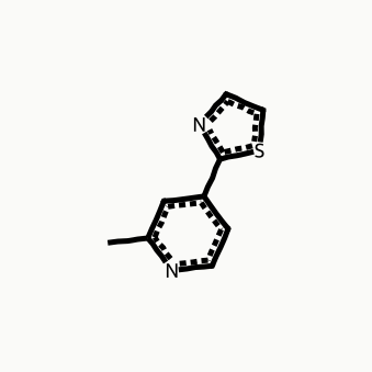 Cc1cc(-c2nccs2)ccn1